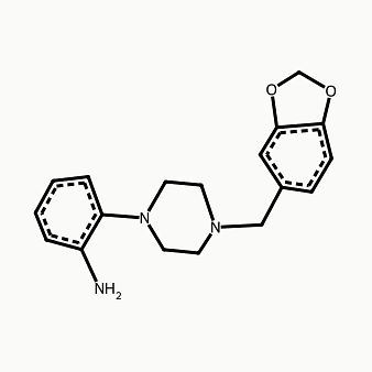 Nc1ccccc1N1CCN(Cc2ccc3c(c2)OCO3)CC1